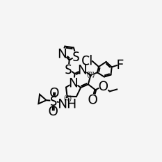 CCOC(=O)C1=C2C[C@H](NS(=O)(=O)C3CC3)CN2C(Sc2nccs2)=N[C@H]1c1ccc(F)cc1Cl